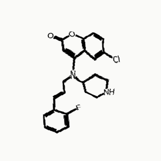 O=c1cc(N(CC=Cc2ccccc2F)C2CCNCC2)c2cc(Cl)ccc2o1